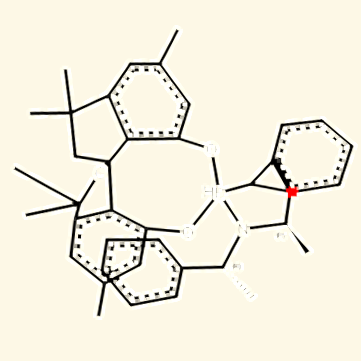 Cc1cc2c3c(c1)C(C)(C)CC31CC(C)(C)c3cc(C)cc(c31)O[PH](C1CC1)(N([C@H](C)c1ccccc1)[C@H](C)c1ccccc1)O2